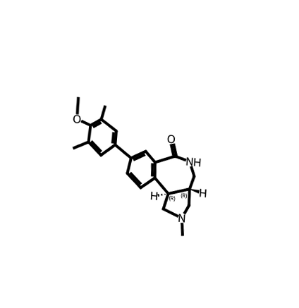 COc1c(C)cc(-c2ccc3c(c2)C(=O)NC[C@@H]2CN(C)C[C@@H]32)cc1C